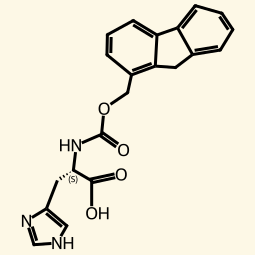 O=C(N[C@@H](Cc1c[nH]cn1)C(=O)O)OCc1cccc2c1Cc1ccccc1-2